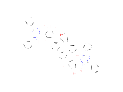 Oc1c(O)c(-c2cccc(C3(c4cccc(-c5c(O)c(O)c(O)c(-c6nc(-c7ccccc7)nc(-c7ccccc7)n6)c5O)c4)c4ccccc4-c4ccccc43)c2)c(O)c(-c2nc(C3=CCCC=C3)nc(-c3ccccc3)n2)c1O